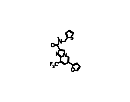 CN(Cc1cccs1)C(=O)c1cn2cc(-c3ccco3)cc(C(F)(F)F)c2n1